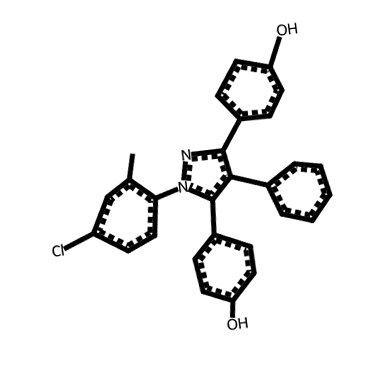 Cc1cc(Cl)ccc1-n1nc(-c2ccc(O)cc2)c(-c2ccccc2)c1-c1ccc(O)cc1